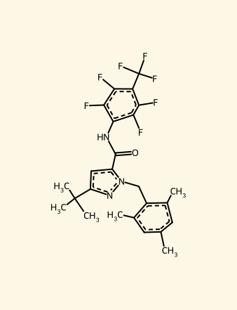 Cc1cc(C)c(Cn2nc(C(C)(C)C)cc2C(=O)Nc2c(F)c(F)c(C(F)(F)F)c(F)c2F)c(C)c1